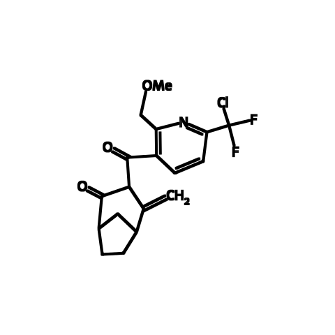 C=C1C2CCC(C2)C(=O)C1C(=O)c1ccc(C(F)(F)Cl)nc1COC